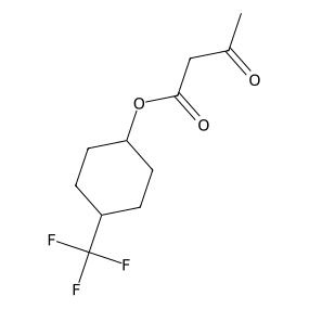 CC(=O)CC(=O)OC1CCC(C(F)(F)F)CC1